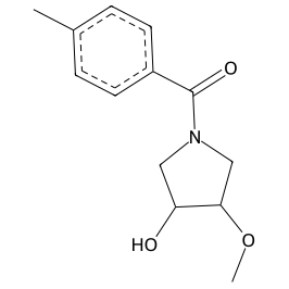 COC1CN(C(=O)c2ccc(C)cc2)CC1O